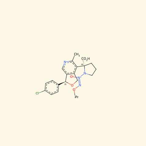 Cc1ncc2c(c1[C@@]1(C(=O)O)CCCN1[N+]([O-])=NOC(C)C)CO[C@H]2c1ccc(Cl)cc1